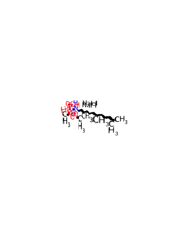 CCOP(=O)(OCC)C(NC/C=C(\C)CC/C=C(\C)CCC=C(C)C)P(=O)(O)O.[NaH].[NaH]